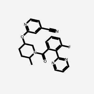 CC1CCC(Oc2cc(C#N)ccn2)CN1C(=O)c1cccc(F)c1-c1ncccn1